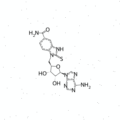 NC(=O)c1ccc2c(c1)[nH]c(=S)n2C[C@H]1O[C@@H](n2cnc3c(N)ncnc32)[C@H](O)[C@@H]1O